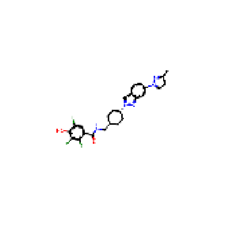 CC1=N[N+](c2ccc3cn([C@H]4CC[C@H](CNC(=O)c5cc(F)c(O)c(F)c5F)CC4)nc3c2)=CC1